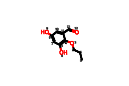 CCCOc1c(O)cc(O)cc1C=O